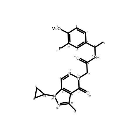 COc1ccc(C(C)NC(=O)Cn2ncc3c(c(C)nn3C3CC3)c2=O)cc1F